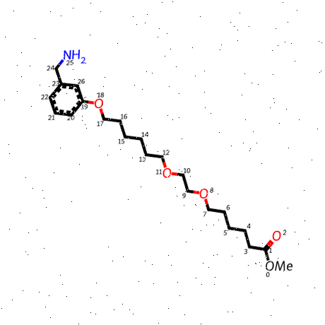 COC(=O)CCCCCOCCOCCCCCCOc1cccc(CN)c1